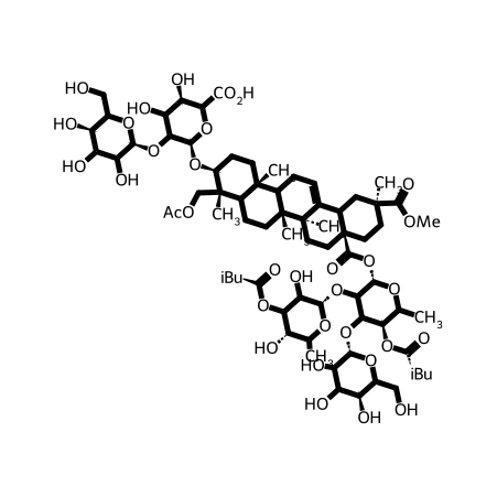 CC[C@H](C)C(=O)OC1C(O)[C@H](OC2C(O[C@@H]3OC(CO)[C@@H](O)C(O)C3O)[C@H](OC(=O)[C@@H](C)CC)C(C)O[C@H]2OC(=O)[C@]23CC[C@](C)(C(=O)OC)CC2C2=CCC4[C@@]5(C)CC[C@H](O[C@@H]6OC(C(=O)O)[C@H](O)C(O)C6O[C@@H]6OC(CO)[C@H](O)C(O)C6O)[C@@](C)(COC(C)=O)C5CC[C@@]4(C)[C@]2(C)CC3)OC(C)[C@@H]1O